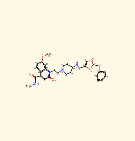 CNC(=O)c1cc(=O)n(CCN2CCC(NCC3=COC(Cc4ccccc4)O3)CC2)c2cc(OC)ccc12